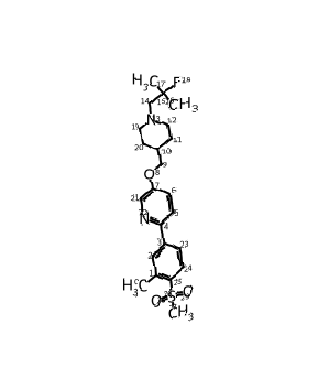 Cc1cc(-c2ccc(OCC3CCN(CC(C)(C)F)CC3)cn2)ccc1S(C)(=O)=O